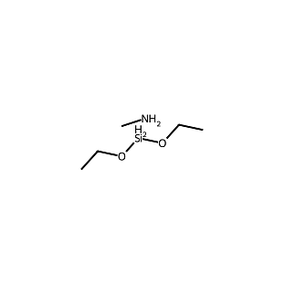 CCO[SiH2]OCC.CN